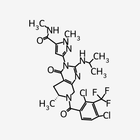 CNC(=O)c1cc(-n2c(NC(C)C)nc3c(c2=O)C[C@@H](C)N(C(=O)c2ccc(Cl)c(C(F)(F)F)c2Cl)C3)nn1C